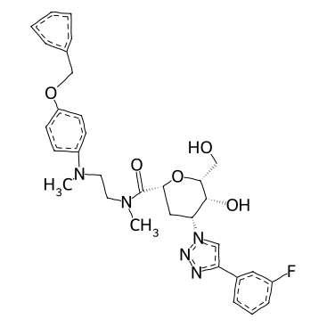 CN(CCN(C)c1ccc(OCc2ccccc2)cc1)C(=O)[C@H]1C[C@@H](n2cc(-c3cccc(F)c3)nn2)[C@@H](O)[C@@H](CO)O1